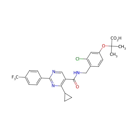 CC(C)(Oc1ccc(CNC(=O)c2cnc(-c3ccc(C(F)(F)F)cc3)nc2C2CC2)c(Cl)c1)C(=O)O